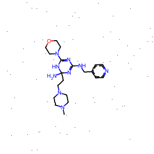 CN1CCN(CCC2(N)N=C(NCc3ccncc3)N=C(N3CCOCC3)N2)CC1